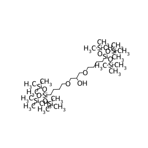 C[Si](C)(C)O[Si](CCCCOCC(O)COCCCC[Si](O[Si](C)(C)C)(O[Si](C)(C)C)O[Si](C)(C)C)(O[Si](C)(C)C)O[Si](C)(C)C